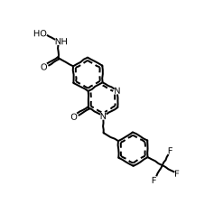 O=C(NO)c1ccc2ncn(Cc3ccc(C(F)(F)F)cc3)c(=O)c2c1